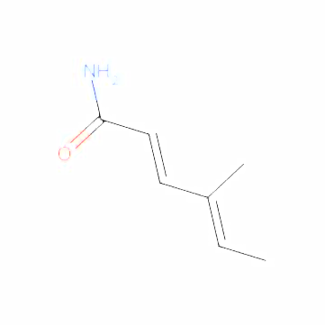 C/C=C(C)/C=C/C(N)=O